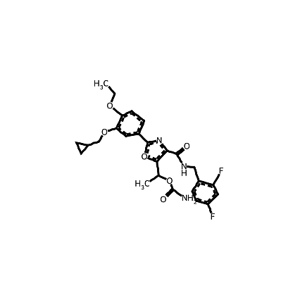 CCOc1ccc(-c2nc(C(=O)NCc3ccc(F)cc3F)c(C(C)OC(N)=O)o2)cc1OCC1CC1